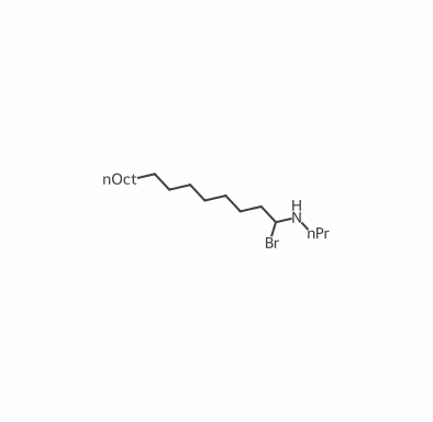 CCCCCCCCCCCCCCCC(Br)NCCC